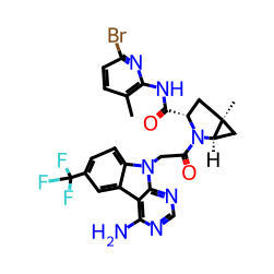 Cc1ccc(Br)nc1NC(=O)[C@@H]1C[C@@]2(C)C[C@H]2N1C(=O)Cn1c2ccc(C(F)(F)F)cc2c2c(N)ncnc21